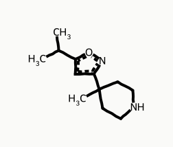 CC(C)c1cc(C2(C)CCNCC2)no1